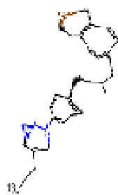 CC(Cc1ccc(-n2cc(CC(C)(C)C)cn2)cc1)Cc1ccc2c(c1)CSC2